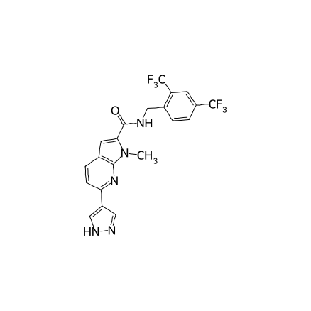 Cn1c(C(=O)NCc2ccc(C(F)(F)F)cc2C(F)(F)F)cc2ccc(-c3cn[nH]c3)nc21